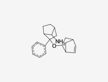 NC1C2CCC1C(OC1CC3C=CC1C3)(c1ccccc1)C2